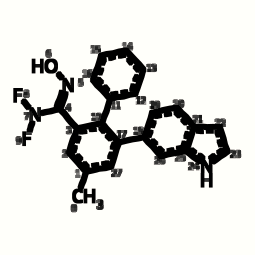 Cc1cc(C(=NO)N(F)F)c(-c2ccccc2)c(-c2ccc3cc[nH]c3c2)c1